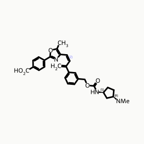 C=C(/C=C\c1nc(-c2ccc(C(=O)O)cc2)oc1C)c1cccc(COC(=O)N[C@H]2CC[C@@H](NC)C2)c1